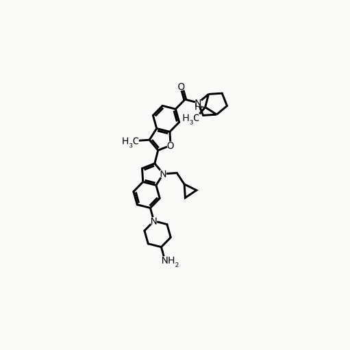 Cc1c(-c2cc3ccc(N4CCC(N)CC4)cc3n2CC2CC2)oc2cc(C(=O)N3CC4CCC3[C@@H]4C)ccc12